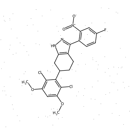 COc1cc(OC)c(Cl)c(C2CCc3c(-c4ccc(F)cc4[N+](=O)[O-])n[nH]c3C2)c1Cl